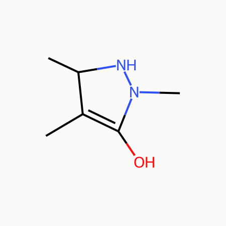 CC1=C(O)N(C)NC1C